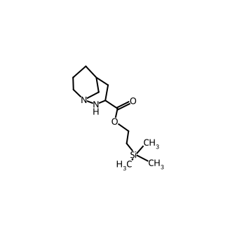 C[Si](C)(C)CCOC(=O)C1CC2CCCN(C2)N1